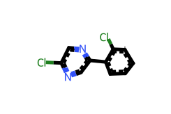 Clc1cnc(-c2ccc[c]c2Cl)cn1